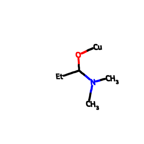 CCC([O][Cu])N(C)C